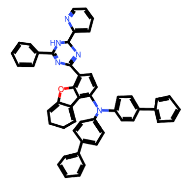 C1=c2oc3c(C4=NC(c5ccccn5)NC(c5ccccc5)=N4)ccc(N(c4ccc(-c5ccccc5)cc4)c4ccc(-c5ccccc5)cc4)c3c2=CCC1